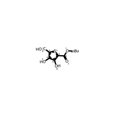 CCCCOC(=O)c1sc(C(=O)O)c(O)c1O